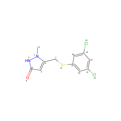 Cn1[nH]c(=O)cc1CSc1cc(Cl)cc(Cl)c1